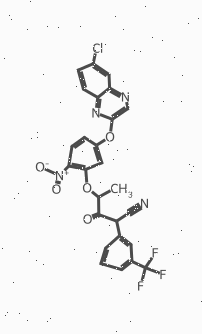 CC(Oc1cc(Oc2cnc3cc(Cl)ccc3n2)ccc1[N+](=O)[O-])C(=O)C(C#N)c1cccc(C(F)(F)F)c1